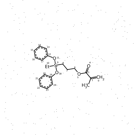 C=C(C)C(=O)OCCC[Si](CC)(Oc1ccccc1)Oc1ccccc1